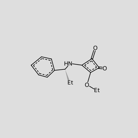 CCOc1c(N[C@H](CC)c2ccccc2)c(=O)c1=O